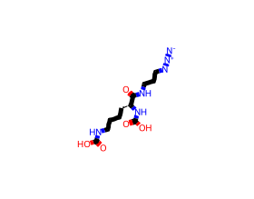 [N-]=[N+]=NCCCNC(=O)[C@@H](CCCCNC(=O)O)NC(=O)O